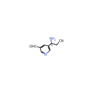 N#CC[C@H](N)c1cncc(C=O)c1